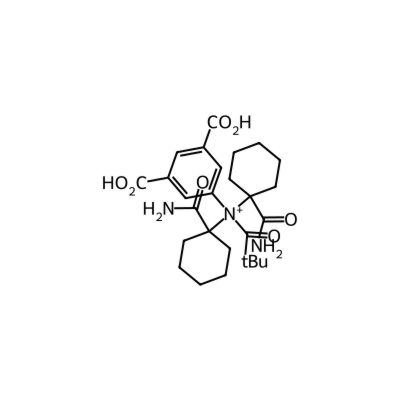 CC(C)(C)C(=O)[N+](c1cc(C(=O)O)cc(C(=O)O)c1)(C1(C(N)=O)CCCCC1)C1(C(N)=O)CCCCC1